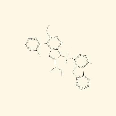 CCc1ccc2c(c1-c1ccccc1C)C=C(C(C)CC)[CH]2[Zr]([Cl])([Cl])[c]1cccc2c1[SiH2]c1ccccc1-2